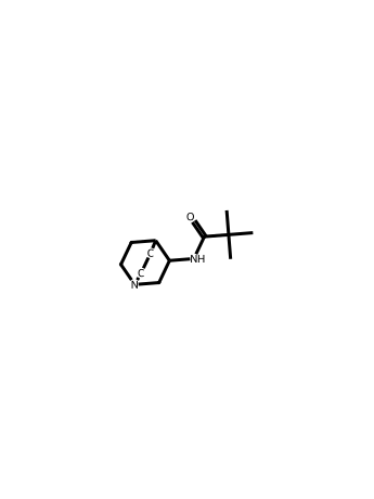 CC(C)(C)C(=O)NC1CN2CCC1CC2